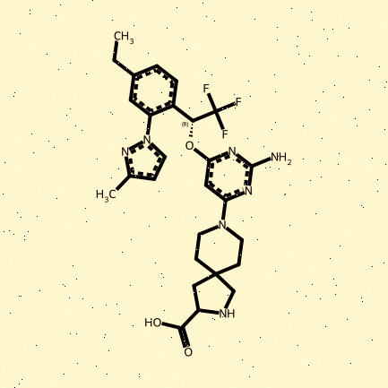 CCc1ccc([C@@H](Oc2cc(N3CCC4(CC3)CNC(C(=O)O)C4)nc(N)n2)C(F)(F)F)c(-n2ccc(C)n2)c1